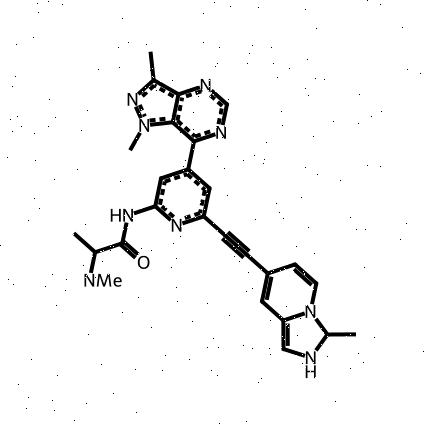 CNC(C)C(=O)Nc1cc(-c2ncnc3c(C)nn(C)c23)cc(C#CC2=CC3=CNC(C)N3C=C2)n1